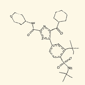 CC(C)(C)NS(=O)(=O)c1ccc(-c2sc(C(=O)NC3CCOCC3)nc2C(=O)C2CCCCC2)cc1C(C)(C)C